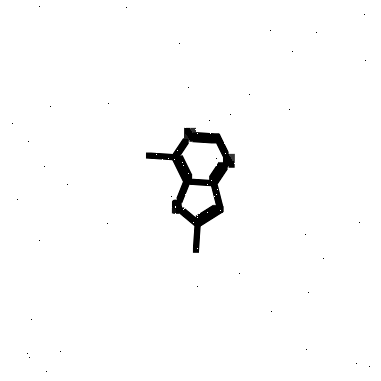 Cc1cc2ncnc(C)c2s1